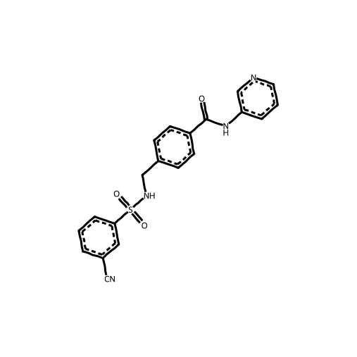 N#Cc1cccc(S(=O)(=O)NCc2ccc(C(=O)Nc3cccnc3)cc2)c1